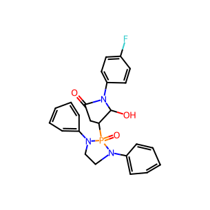 O=C1CC(P2(=O)N(c3ccccc3)CCN2c2ccccc2)C(O)N1c1ccc(F)cc1